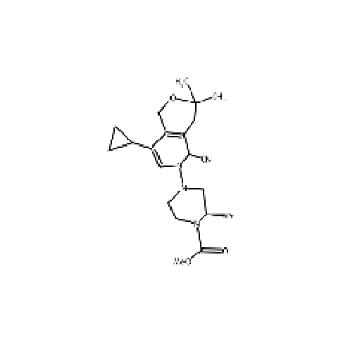 COC(=O)N1CCN(N2C=C(C3CC3)C3=C(CC(C)(C)OC3)C2C#N)C[C@H]1C(C)C